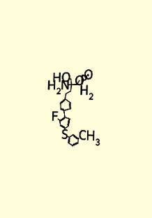 Cc1cccc(Sc2ccc(-c3ccc(CCC(N)(CO)CO[PH2]=O)cc3)c(F)c2)c1